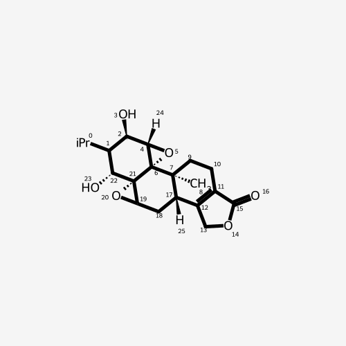 CC(C)C1[C@@H](O)[C@@H]2O[C@@]23[C@@]2(C)CCC4=C(COC4=O)[C@@H]2CC2O[C@@]23[C@@H]1O